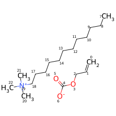 C=CCOC(=O)[O-].CCCCCCCCCCCC[N+](C)(C)C